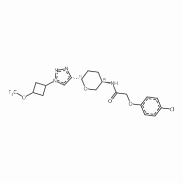 O=C(COc1ccc(Cl)cc1)N[C@@H]1CC[C@@H](c2cn(C3CC(OC(F)(F)F)C3)nn2)OC1